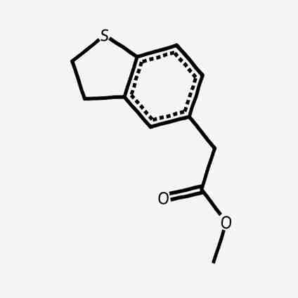 COC(=O)Cc1ccc2c(c1)CCS2